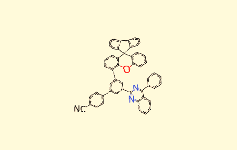 N#Cc1ccc(-c2cc(-c3nc(-c4ccccc4)c4ccccc4n3)cc(-c3cccc4c3Oc3ccccc3C43c4ccccc4-c4ccccc43)c2)cc1